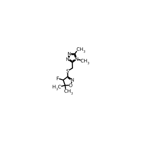 Cc1nnc(CSC2=NOC(C)(C)C2F)n1C